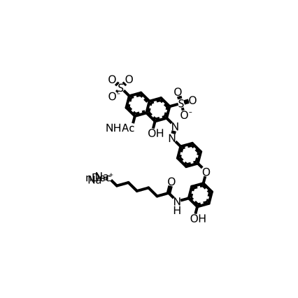 CCCCCCCCCCCCCCCC(=O)Nc1cc(Oc2ccc(N=Nc3c(S(=O)(=O)[O-])cc4cc(S(=O)(=O)[O-])cc(NC(C)=O)c4c3O)cc2)ccc1O.[Na+].[Na+]